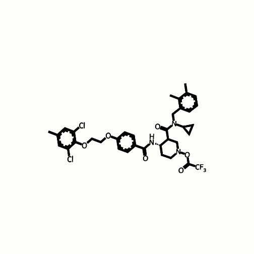 Cc1cc(Cl)c(OCCOc2ccc(C(=O)N[C@H]3CCN(OC(=O)C(F)(F)F)CC3C(=O)N(Cc3cccc(C)c3C)C3CC3)cc2)c(Cl)c1